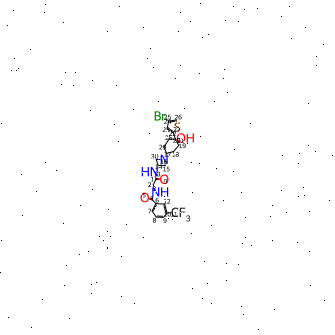 O=C(CNC(=O)c1cccc(C(F)(F)F)c1)NC1CN(C2CCC(O)(c3cc(Br)cs3)CC2)C1